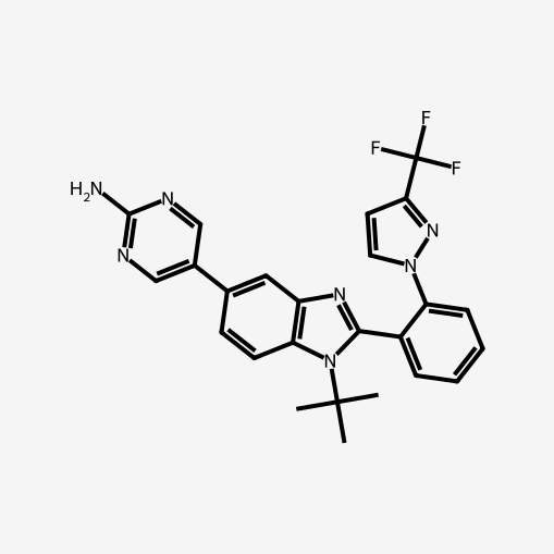 CC(C)(C)n1c(-c2ccccc2-n2ccc(C(F)(F)F)n2)nc2cc(-c3cnc(N)nc3)ccc21